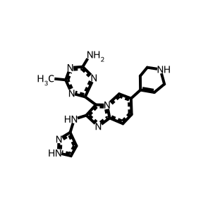 Cc1nc(N)nc(-c2c(Nc3cc[nH]n3)nc3ccc(C4=CCNCC4)cn23)n1